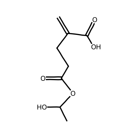 C=C(CCC(=O)OC(C)O)C(=O)O